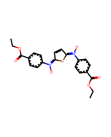 CCOC(=O)c1ccc(/[N+]([O-])=C2C=C/C(=[N+](\[O-])c3ccc(C(=O)OCC)cc3)S\2)cc1